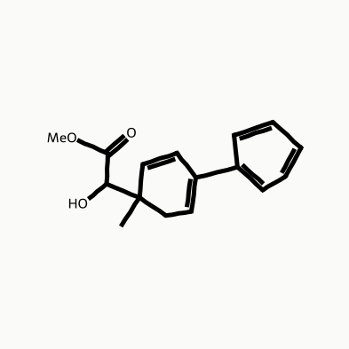 COC(=O)C(O)C1(C)C=CC(c2ccccc2)=CC1